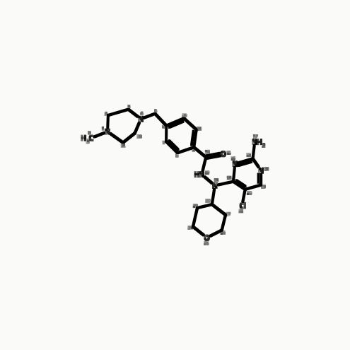 CN1CCN(Cc2ccc(C(=O)NN(c3nc(N)ncc3Cl)C3CCOCC3)cc2)CC1